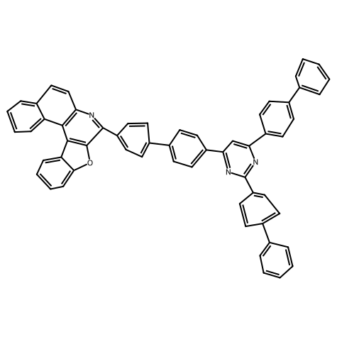 c1ccc(-c2ccc(-c3cc(-c4ccc(-c5ccc(-c6nc7ccc8ccccc8c7c7c6oc6ccccc67)cc5)cc4)nc(-c4ccc(-c5ccccc5)cc4)n3)cc2)cc1